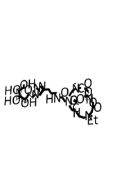 CCN1CCN2CCN(CC(=O)NCCCc3cn(C[C@H]4OC(O)[C@H](O)[C@@H](O)[C@@H]4O)nn3)CCN(C)CC(=O)O[N@@](COC(=O)C2)OC(=O)C1